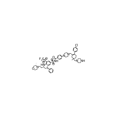 C[C@H]1COCCN1CC[C@H](CSc1ccccc1)Nc1ccc(S(=O)(=O)NC(=O)c2ccc(N3CCN(CC4=C(c5ccc(Cl)cc5)CCC(C)(CN5CCNCC5)C4)CC3)cc2)cc1S(=O)(=O)C(F)(F)F